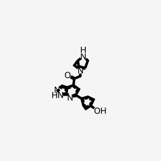 O=C(CN1CC2CC1CN2)c1cc(-c2ccc(O)cc2)nc2[nH]ncc12